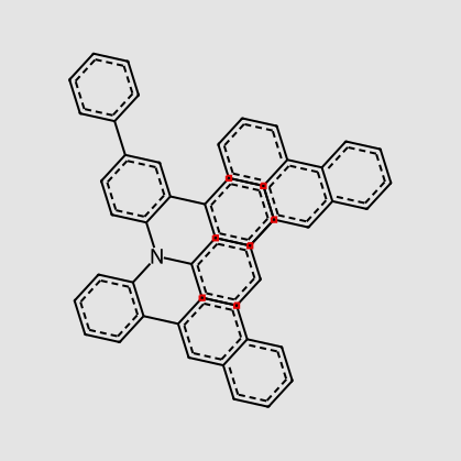 c1ccc(-c2ccc(N(c3cccc(-c4cc5ccccc5c5ccccc45)c3)c3ccccc3-c3ccc4ccccc4c3)c(-c3ccccc3)c2)cc1